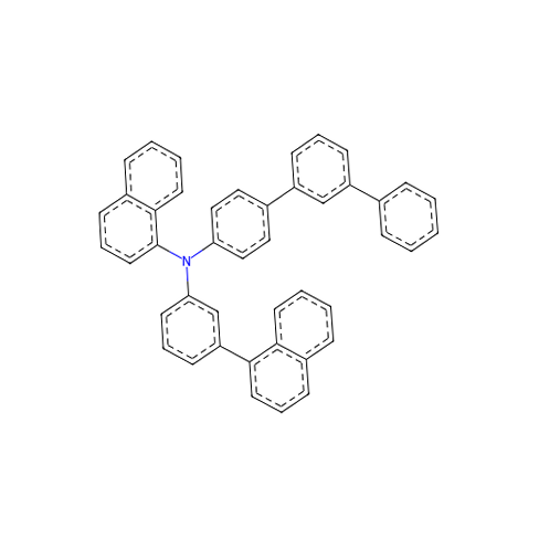 c1ccc(-c2cccc(-c3ccc(N(c4cccc(-c5cccc6ccccc56)c4)c4cccc5ccccc45)cc3)c2)cc1